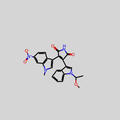 COC(C)n1cc(C2=C(c3cn(C)c4cc([N+](=O)[O-])ccc34)C(=O)NC2=O)c2ccccc21